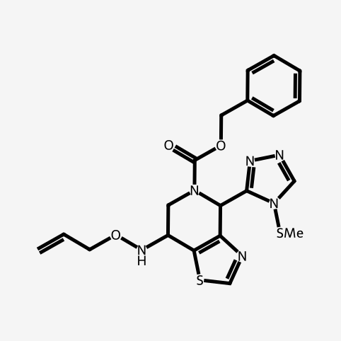 C=CCONC1CN(C(=O)OCc2ccccc2)C(c2nncn2SC)c2ncsc21